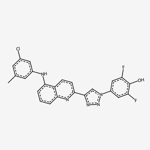 Cc1cc(Cl)cc(Nc2cccc3nc(-c4cn(-c5cc(F)c(O)c(F)c5)nn4)ccc23)c1